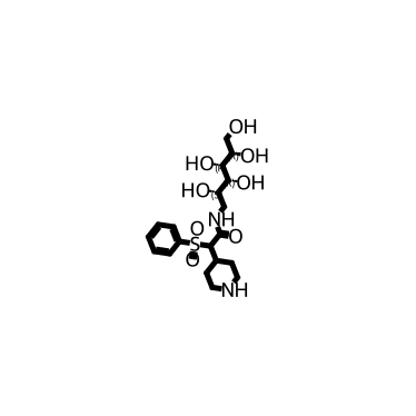 O=C(NC[C@H](O)[C@@H](O)[C@H](O)[C@H](O)CO)C(C1CCNCC1)S(=O)(=O)c1ccccc1